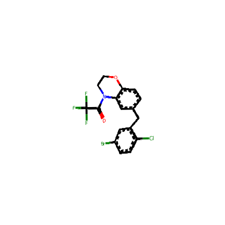 O=C(N1CCOc2ccc(Cc3cc(Br)ccc3Cl)cc21)C(F)(F)F